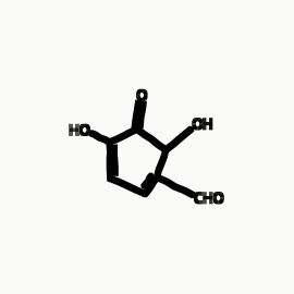 O=CC1=CC=C(O)C(=O)C1O